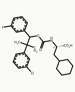 CC(C)(c1cccc(Cl)c1)C(OC(=O)N[C@@H](CC1CCCCC1)C(=O)O)c1cccc(F)c1